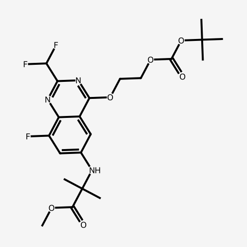 COC(=O)C(C)(C)Nc1cc(F)c2nc(C(F)F)nc(OCCOC(=O)OC(C)(C)C)c2c1